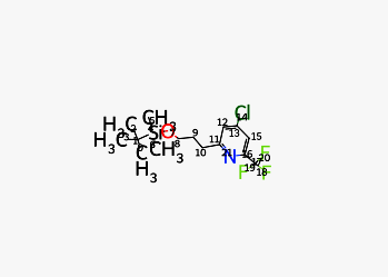 CC(C)(C)[Si](C)(C)OCCCc1cc(Cl)cc(C(F)(F)F)n1